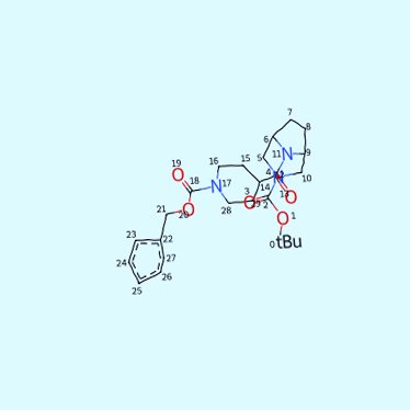 CC(C)(C)OC(=O)N1CC2CCC(C1)N2C(=O)C1CCN(C(=O)OCc2ccccc2)CC1